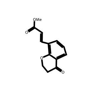 COC(=O)C=Cc1cccc2c1OCCC2=O